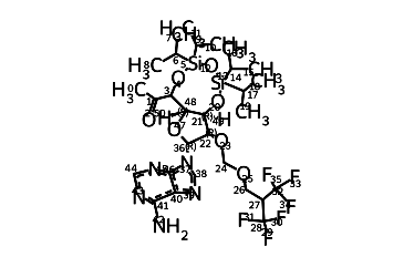 CC(=O)C1O[Si](C(C)C)(C(C)C)O[Si](C(C)C)(C(C)C)O[C@H]2[C@@H](OCOCC(C(F)(F)F)C(F)(F)F)[C@H](n3cnc4c(N)ncnc43)O[C@H]12